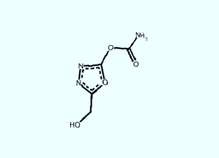 NC(=O)Oc1nnc(CO)o1